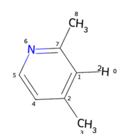 [2H]c1c(C)ccnc1C